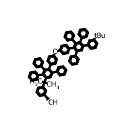 C#Cc1cccc(C(C)(C)c2cc(-c3ccccc3)c(-c3ccc(Oc4ccc(-c5c(-c6ccccc6)cc(-c6cccc(C(C)(C)C)c6)c(-c6ccccc6)c5-c5ccccc5)cc4)cc3)c(-c3ccccc3)c2-c2ccccc2)c1